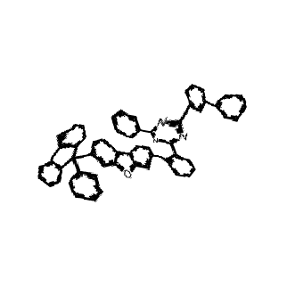 c1ccc(-c2cccc(-c3nc(-c4ccccc4)nc(-c4ccccc4-c4ccc5c(c4)oc4cc(C6(c7ccccc7)c7ccccc7-c7ccccc76)ccc45)n3)c2)cc1